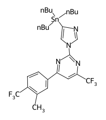 CCC[CH2][Sn]([CH2]CCC)([CH2]CCC)[c]1cn(-c2nc(-c3ccc(C(F)(F)F)c(C)c3)cc(C(F)(F)F)n2)cn1